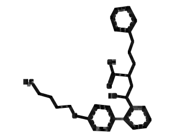 CCCCCOc1ccc(-c2ccccc2C(O)CC(CCCc2ccccc2)C(=O)O)cc1